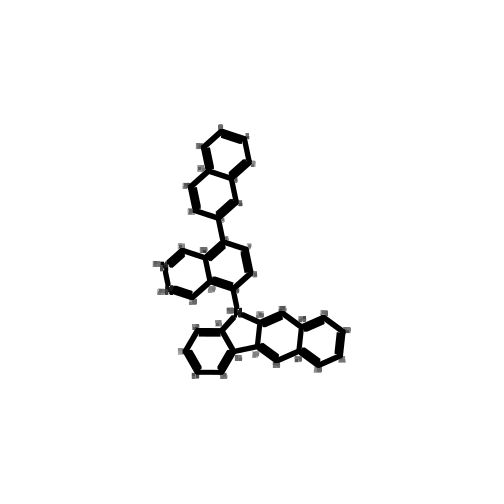 c1ccc2cc(-c3ccc(-n4c5ccccc5c5cc6ccccc6cc54)c4cnncc34)ccc2c1